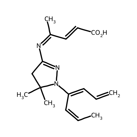 C=C/C=C(\C=C/C)N1N=C(/N=C(C)\C=C\C(=O)O)CC1(C)C